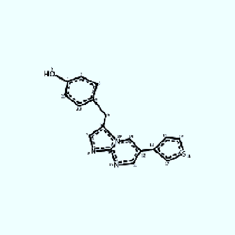 Oc1ccc(Cc2cnc3ncc(-c4ccsc4)cn23)cc1